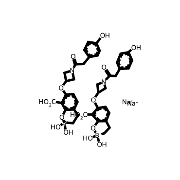 O=C(O)c1c(OC2CN(C(=O)Cc3ccc(O)cc3)C2)ccc2c1O[B-](O)(O)CC2.O=C(O)c1c(OC2CN(C(=O)Cc3ccc(O)cc3)C2)ccc2c1O[B-](O)(O)CC2.[Na+].[Na+]